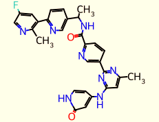 Cc1cc(Nc2cc[nH]c(=O)c2)nc(-c2ccc(C(=O)NC(C)c3ccc(-c4cc(F)cnc4C)nc3)nc2)n1